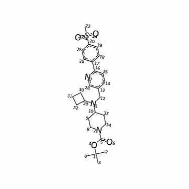 CC(C)(C)OC(=O)N1CCC(N(Cc2ccc(-c3ccc(S(C)(=O)=O)cc3)nc2)C2CCC2)CC1